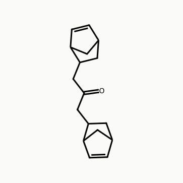 O=C(CC1CC2C=CC1C2)CC1CC2C=CC1C2